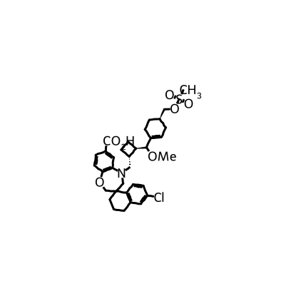 COC(C1=CC[C@H](COS(C)(=O)=O)CC1)[C@@H]1CC[C@H]1CN1CC2(CCCc3cc(Cl)ccc32)COc2ccc(C(=O)O)cc21